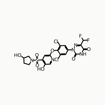 O=c1[nH]c(=O)n(-c2cc(Cl)c(Oc3cc(S(=O)(=O)N4CCC(O)C4)c(O)cn3)c(Cl)c2)nc1C(F)F